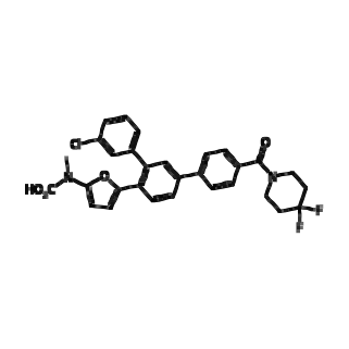 CN(C(=O)O)c1ccc(-c2ccc(-c3ccc(C(=O)N4CCC(F)(F)CC4)cc3)cc2-c2cccc(Cl)c2)o1